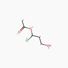 CC(=O)OC(Cl)CCO